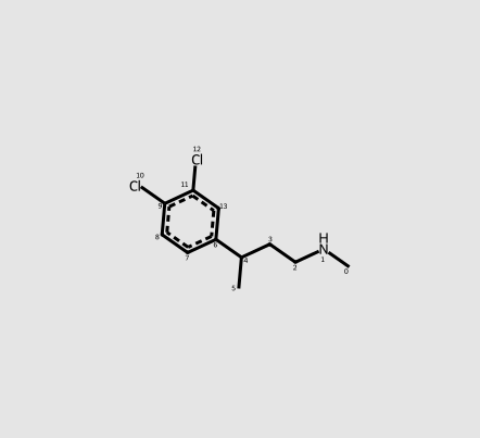 CNCCC(C)c1ccc(Cl)c(Cl)c1